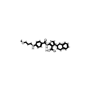 COCCCNc1ccc(C(=O)Nc2scc(C3CCc4ccccc4C3)c2C(=O)O)cc1